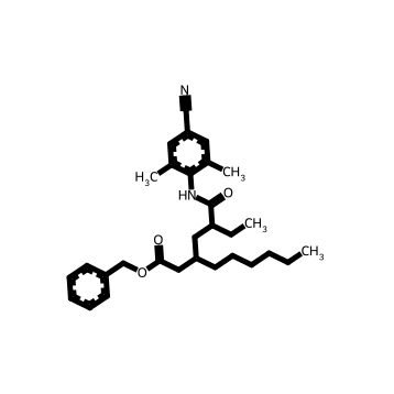 CCCCCCC(CC(=O)OCc1ccccc1)CC(CC)C(=O)Nc1c(C)cc(C#N)cc1C